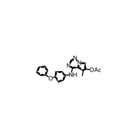 CC(=O)Oc1cn2ncnc(Nc3ccc(Oc4ccccc4)cc3)c2c1C